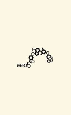 COC(=O)C[C@@H]1COc2cc(O[C@@H]3CCc4c(-c5c(C)cc(OC6CCS(=O)(=O)N(C)C6)cc5C)ccc(F)c43)ccc21